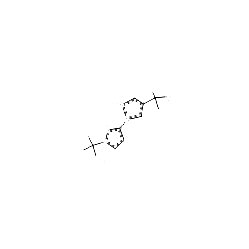 CC(C)(C)c1cnn(-c2ccn(C(C)(C)C)n2)c1